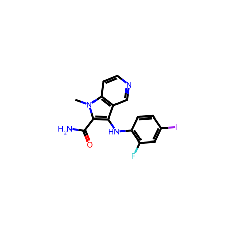 Cn1c(C(N)=O)c(Nc2ccc(I)cc2F)c2cnccc21